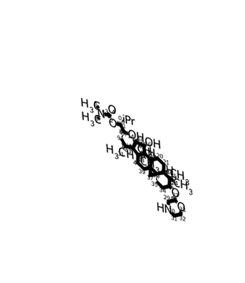 CC(C)[C@@H](OC(=O)N(C)C)[C@H]1C[C@@H](C)[C@H]2[C@H](O1)[C@H](O)[C@@]1(C)[C@@H]3CC[C@H]4C(C)(C)C(O[C@H]5CNCCO5)CC[C@@]45CC35CC[C@]21C